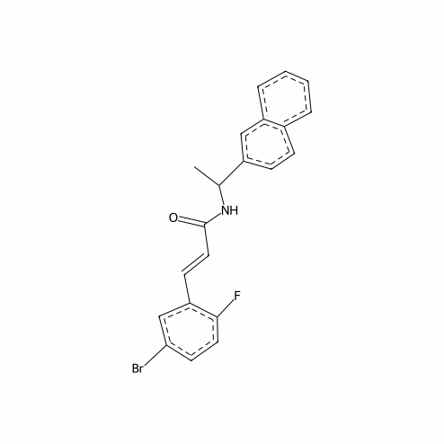 CC(NC(=O)C=Cc1cc(Br)ccc1F)c1ccc2ccccc2c1